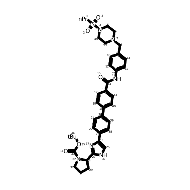 CCCS(=O)(=O)N1CCN(Cc2ccc(NC(=O)c3ccc(-c4ccc(-c5c[nH]c(C6CCCN6C(=O)OC(C)(C)C)n5)cc4)cc3)cc2)CC1